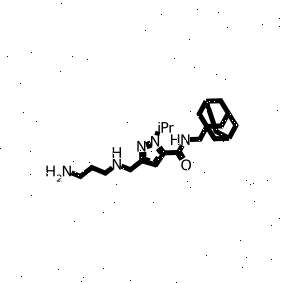 CC(C)n1nc(CNCCCN)cc1C(=O)NCC12CC3CC(CC(C3)C1)C2